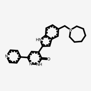 O=c1[nH]nc(-c2ccncc2)cc1-c1cc2cc(CN3CCCCCC3)ccc2[nH]1